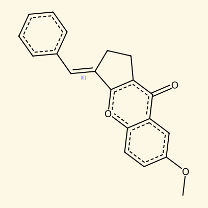 COc1ccc2oc3c(c(=O)c2c1)CC/C3=C\c1ccccc1